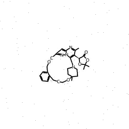 Cc1nc2cc3nn2c(c1[C@@H]1OC(C)(C)OC1=O)N1CCC(C)(CC1)OCCCc1ccccc1COC3